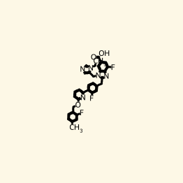 CCn1cncc1Cn1c(Cc2ccc(-c3cccc(OCc4ccc(C)cc4F)n3)c(F)c2)nc2c(F)cc(C(=O)O)cc21